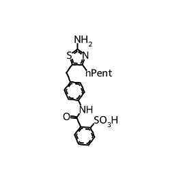 CCCCCc1nc(N)sc1Cc1ccc(NC(=O)c2ccccc2S(=O)(=O)O)cc1